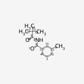 Cc1cccc(C(=O)NC(=O)C(C)(C)C)c1